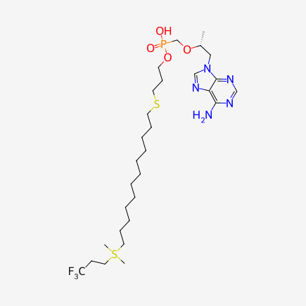 C[C@H](Cn1cnc2c(N)ncnc21)OCP(=O)(O)OCCCSCCCCCCCCCCCCS(C)(C)CCC(F)(F)F